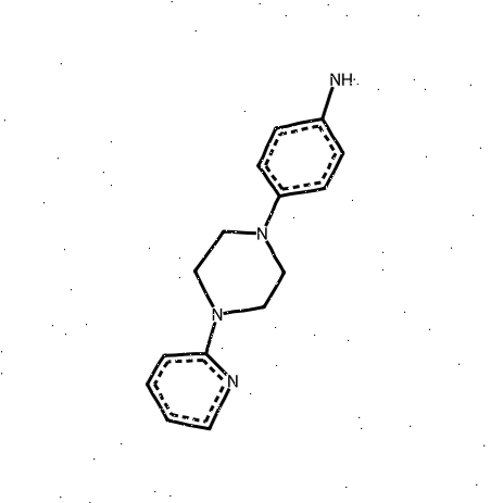 [NH]c1ccc(N2CCN(c3ccccn3)CC2)cc1